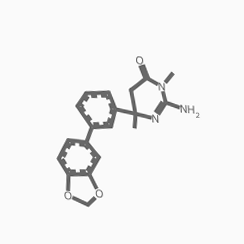 CN1C(=O)CC(C)(c2cccc(-c3ccc4c(c3)OCO4)c2)N=C1N